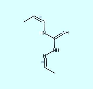 C/C=N\NC(=N)N/N=C\C